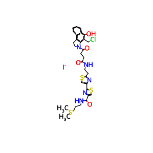 C[S+](C)CCCNC(=O)c1csc(-c2csc(CCNC(=O)CCC(=O)N3CCc4c3c(CCl)c(O)c3ccccc43)n2)n1.[I-]